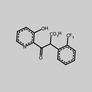 O=C(O)C(C(=O)c1ncccc1O)c1ccccc1C(F)(F)F